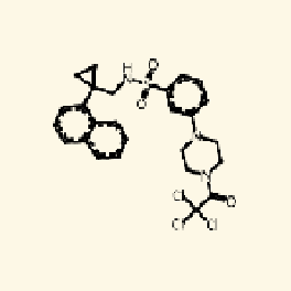 O=C(N1CCN(c2cccc(S(=O)(=O)NCC3(c4cccc5ccccc45)CC3)c2)CC1)C(Cl)(Cl)Cl